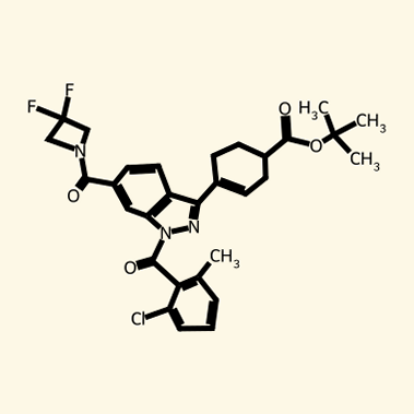 Cc1cccc(Cl)c1C(=O)n1nc(C2=CCC(C(=O)OC(C)(C)C)CC2)c2ccc(C(=O)N3CC(F)(F)C3)cc21